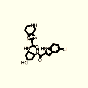 Cl.O=C(N[C@H]1CCC[C@@H]1NC(=O)c1nc2c(s1)CNCC2)c1cc2cc(Cl)ccc2[nH]1